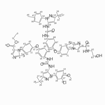 CCOC(=O)c1cnc2sc3cc(Oc4ccc(NC(=O)Nc5cc(C(C)(C)C)nn5-c5ccc(OC)c(Cl)c5)cc4)ccc3n12.Cc1ccc(-n2nc(C(C)(C)C)cc2NC(=O)Nc2ccc(Oc3ccc4c(c3)sc3nc(C(=O)NCCO)cn34)cc2)cc1